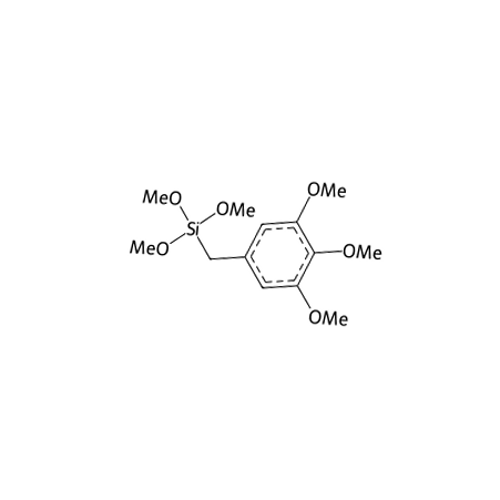 COc1cc(C[Si](OC)(OC)OC)cc(OC)c1OC